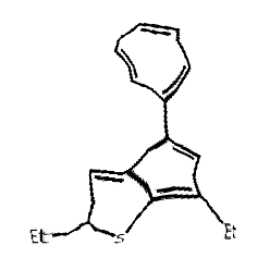 CCC1=C2SC(CC)C=C2C(c2ccccc2)=C1